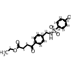 CCOC(=O)CCC(=O)c1ccc(CNS(=O)(=O)c2ccc(Cl)cc2)cc1